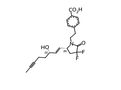 CC#CCC[C@H](O)C=C[C@H]1CC(F)(F)C(=O)N1CCc1ccc(C(=O)O)cc1